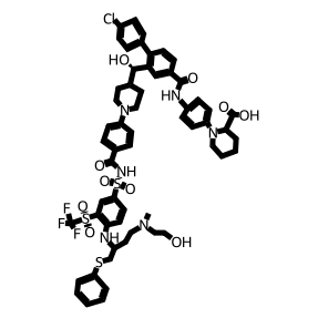 CN(CCO)CCC(CSc1ccccc1)Nc1ccc(S(=O)(=O)NC(=O)c2ccc(N3CCC([C@@H](O)c4cc(C(=O)Nc5ccc(N6CCCCC6C(=O)O)cc5)ccc4-c4ccc(Cl)cc4)CC3)cc2)cc1S(=O)(=O)C(F)(F)F